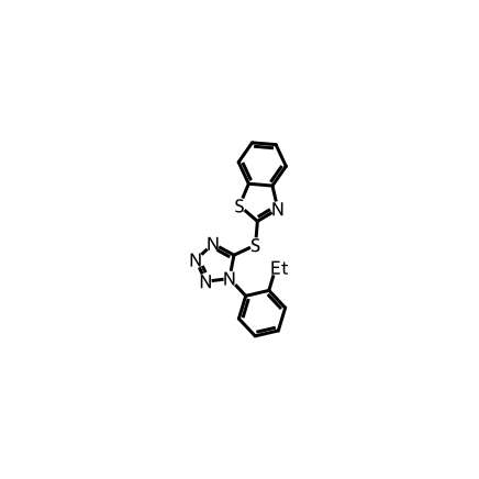 CCc1ccccc1-n1nnnc1Sc1nc2ccccc2s1